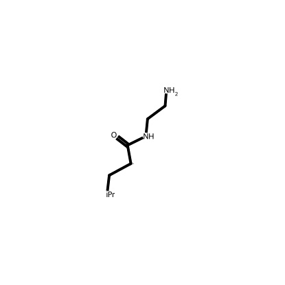 CC(C)C[CH]C(=O)NCCN